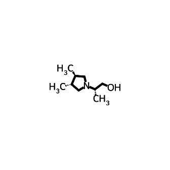 C[C@H]1CN([C@@H](C)CO)C[C@@H]1C